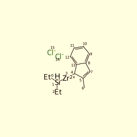 CC[SiH](CC)[Zr+2][CH]1C(C)=Cc2ccccc21.[Cl-].[Cl-]